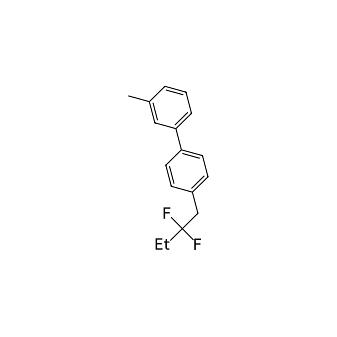 CCC(F)(F)Cc1ccc(-c2cccc(C)c2)cc1